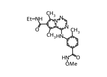 CCNC(=O)c1c(C)c2c(Nc3cc(C(=O)NOC)ccc3C)ncnn2c1C